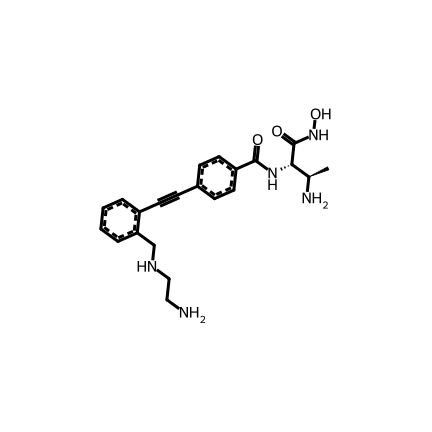 C[C@@H](N)[C@H](NC(=O)c1ccc(C#Cc2ccccc2CNCCN)cc1)C(=O)NO